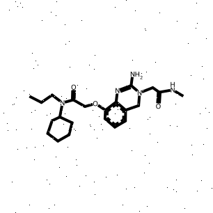 CCCN(C(=O)COc1cccc2c1N=C(N)N(CC(=O)NC)C2)C1CCCCC1